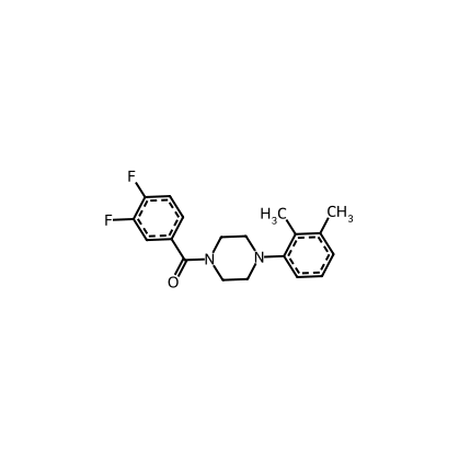 Cc1cccc(N2CCN(C(=O)c3ccc(F)c(F)c3)CC2)c1C